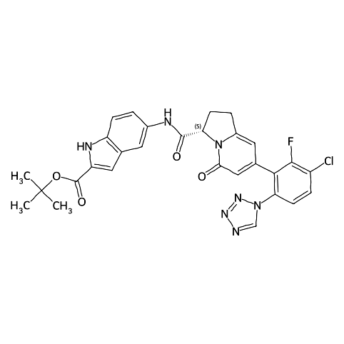 CC(C)(C)OC(=O)c1cc2cc(NC(=O)[C@@H]3CCc4cc(-c5c(-n6cnnn6)ccc(Cl)c5F)cc(=O)n43)ccc2[nH]1